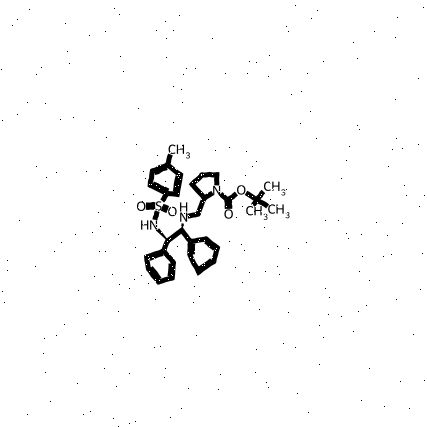 Cc1ccc(S(=O)(=O)N[C@H](c2ccccc2)[C@H](NCC2CCCN2C(=O)OC(C)(C)C)c2ccccc2)cc1